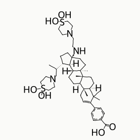 CC(CN1CCS(O)(O)CC1)[C@@H]1CC[C@]2(NCCN3CCS(O)(O)CC3)CC[C@]3(C)[C@H](CC[C@@H]4[C@@]5(C)CC=C(c6ccc(C(=O)O)cc6)C(C)(C)[C@@H]5CC[C@]43C)[C@@H]12